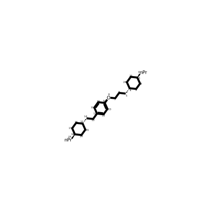 CCC[C@H]1CC[C@H](CCCOc2ccc(CC[C@H]3CC[C@H](CCC)CC3)cc2)CC1